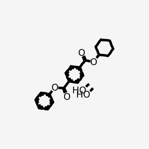 CO.CO.O=C(Oc1ccccc1)c1ccc(C(=O)OC2CCCCC2)cc1